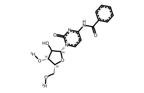 [2H]OC[C@H]1O[C@@H](n2ccc(NC(=O)c3ccccc3)nc2=O)C(O)[C@H]1O[3H]